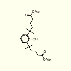 COC(=O)CCCC(C)(C)c1cccc(C(C)(C)CCCC(=O)OC)c1O